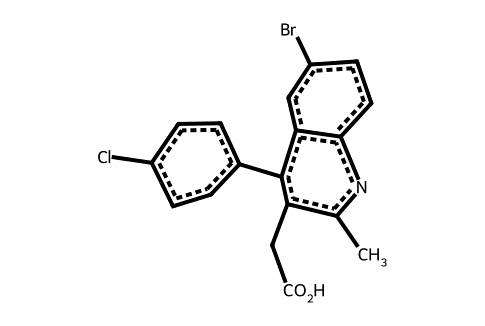 Cc1nc2ccc(Br)cc2c(-c2ccc(Cl)cc2)c1CC(=O)O